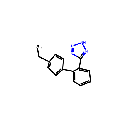 BCc1ccc(-c2ccccc2-c2nn[nH]n2)cc1